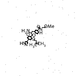 COCCNC(=O)c1ccc2c(c1)CC(C(N)=O)C(c1ccc(-c3cn[nH]c3)cc1OCCN(C)C)O2